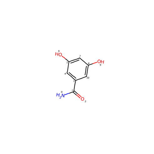 NC(=O)c1cc(O)cc(O)c1